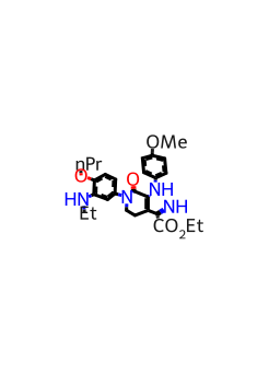 CCCOc1ccc(N2CCC(C(=N)C(=O)OCC)=C(Nc3ccc(OC)cc3)C2=O)cc1NCC